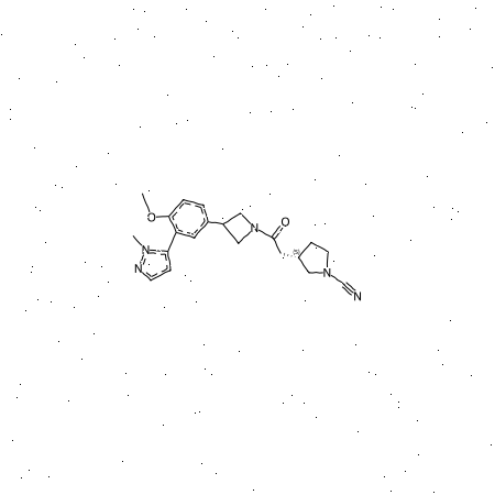 COc1ccc(C2CN(C(=O)C[C@@H]3CCN(C#N)C3)C2)cc1-c1ccnn1C